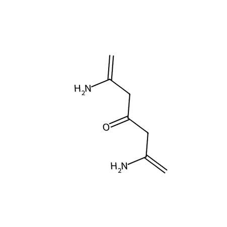 C=C(N)CC(=O)CC(=C)N